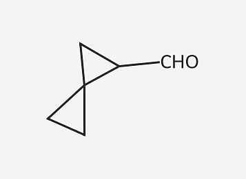 O=CC1CC12CC2